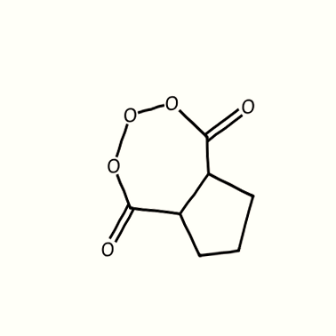 O=C1OOOC(=O)C2CCCC12